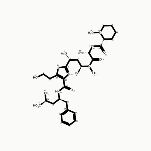 CC(=O)O[C@H](C[C@H](C(C)C)N(C)C(=O)[C@@H](NC(=O)[C@H]1CCCCN1C)C(C)C)c1nc(C(=O)N[C@@H](Cc2ccccc2)C[C@H](C)C(=O)O)c(CCO)s1